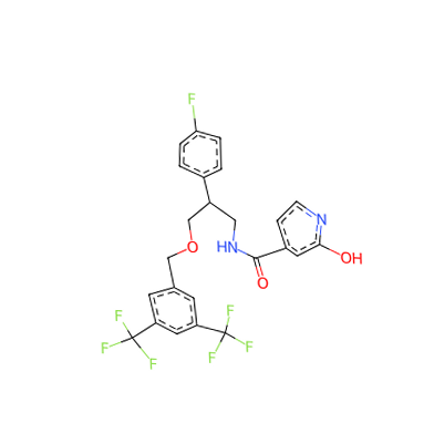 O=C(NCC(COCc1cc(C(F)(F)F)cc(C(F)(F)F)c1)c1ccc(F)cc1)c1ccnc(O)c1